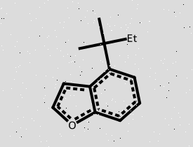 CCC(C)(C)c1cccc2occc12